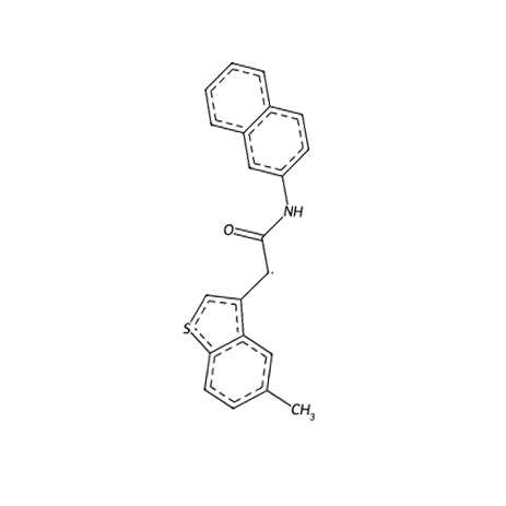 Cc1ccc2scc([CH]C(=O)Nc3ccc4ccccc4c3)c2c1